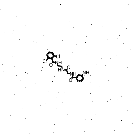 Nc1cccc(C(=O)NCC(=O)NCCNC(=O)c2c(Cl)cccc2Cl)c1